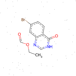 CCOC=O.O=c1[nH]cnc2cc(Br)ccc12